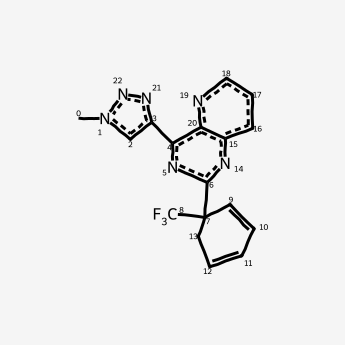 Cn1cc(-c2nc(C3(C(F)(F)F)C=CC=CC3)nc3cccnc23)nn1